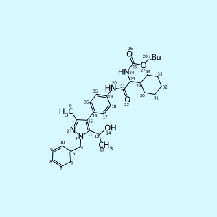 Cc1nn(Cc2ccccc2)c(C(C)O)c1-c1ccc(NC(=O)C(NC(=O)OC(C)(C)C)C2CCCCC2)cc1